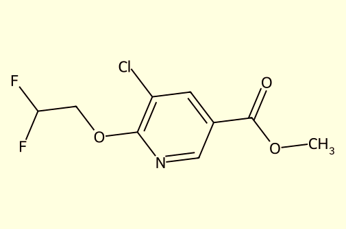 COC(=O)c1cnc(OCC(F)F)c(Cl)c1